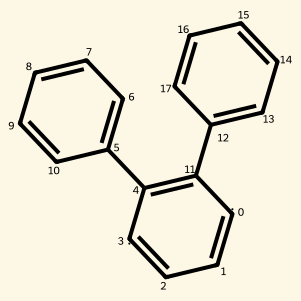 [c]1cc[c]c(-c2ccccc2)c1-c1ccccc1